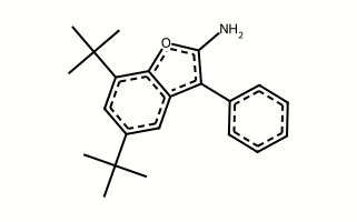 CC(C)(C)c1cc(C(C)(C)C)c2oc(N)c(-c3ccccc3)c2c1